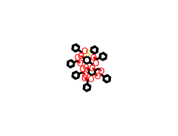 O=C(OCC1CC(Sc2ccccc2)C(OC(=O)c2ccccc2)C(OC(=O)c2ccccc2)C1OC1OC2COC(c3ccccc3)OC2C(OC(=O)c2ccccc2)C1OC(=O)c1ccccc1)c1ccccc1